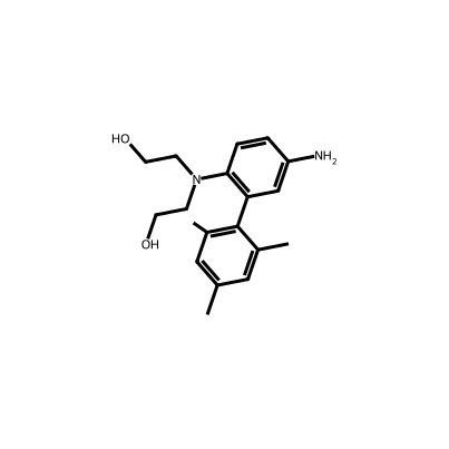 Cc1cc(C)c(-c2cc(N)ccc2N(CCO)CCO)c(C)c1